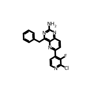 Nc1nc(Cc2ccccc2)c2nc(-c3ccnc(Cl)c3F)ccc2n1